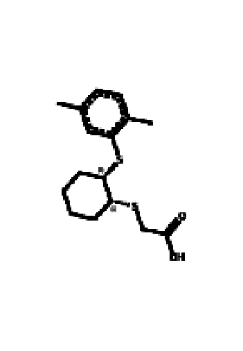 Cc1ccc(C)c(S[C@@H]2CCCC[C@H]2SCC(=O)O)c1